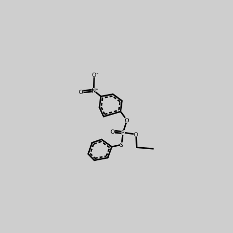 CCOP(=O)(Oc1ccc([N+](=O)[O-])cc1)Sc1ccccc1